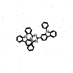 c1ccc(-c2nc(-c3ccc4c5ccccc5n(-c5ccccc5)c4c3)nc(-c3ccccc3-n3c4ccccc4c4ccccc43)n2)cc1